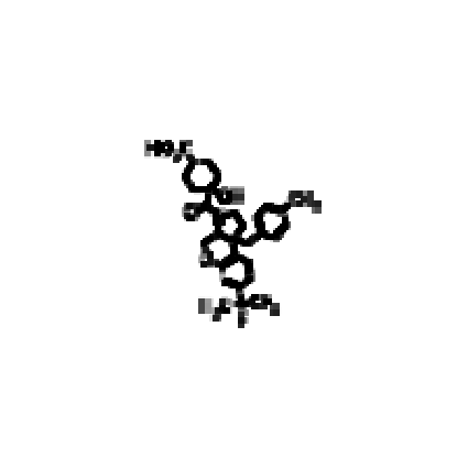 Cc1ccc(CC23CCN(C(=O)[C@]4(O)CC[C@@H](C(=O)O)CC4)C2COc2cc(C(C)(F)C(F)(F)F)ccc23)cc1